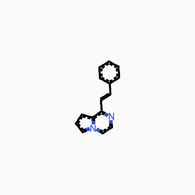 C(=Cc1nccn2cccc12)c1ccccc1